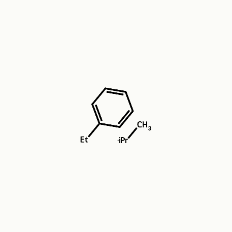 C[C](C)C.[CH2]Cc1ccccc1